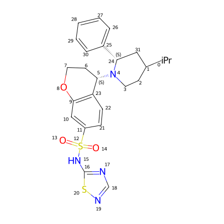 CC(C)C1CCN([C@H]2CCOc3cc(S(=O)(=O)Nc4ncns4)ccc32)[C@H](c2ccccc2)C1